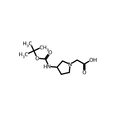 CC(C)(C)OC(=O)NC1CCN(CC(=O)O)C1